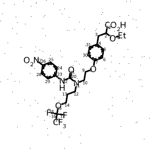 CCOC(Cc1ccc(OCCN(CCCOC(F)(F)C(F)(F)F)C(=O)Nc2ccc([N+](=O)[O-])cc2)cc1)C(=O)O